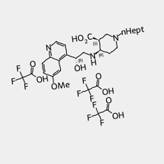 CCCCCCCN1CC[C@@H](NC[C@H](O)c2ccnc3ccc(OC)cc23)[C@@H](C(=O)O)C1.O=C(O)C(F)(F)F.O=C(O)C(F)(F)F.O=C(O)C(F)(F)F